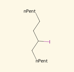 CCCCCCCC(I)CCCCCC